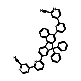 N#Cc1cc(-c2cccc(-c3ccc4c(c3)C(c3ccccc3)(c3ccccc3)c3cc(-c5cccc(-c6ccnc(C#N)c6)n5)c5ccccc5c3-4)n2)ccn1